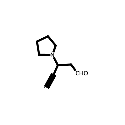 [C]#CC(CC=O)N1CCCC1